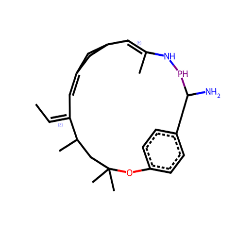 C/C=C1\C=C2CC(/C=C(\C)NPC(N)c3ccc(cc3)OC(C)(C)CC1C)C2